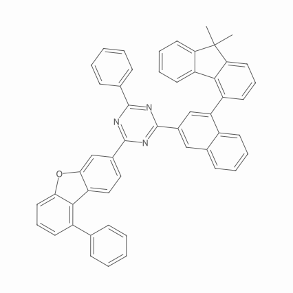 CC1(C)c2ccccc2-c2c(-c3cc(-c4nc(-c5ccccc5)nc(-c5ccc6c(c5)oc5cccc(-c7ccccc7)c56)n4)cc4ccccc34)cccc21